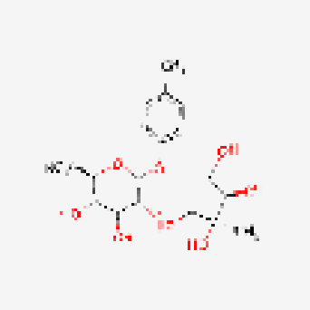 C[C@](O)(CO)[C@H](O)CO.Cc1ccc(OC2O[C@H](C(=O)O)[C@@H](O)[C@H](O)[C@H]2O)cc1